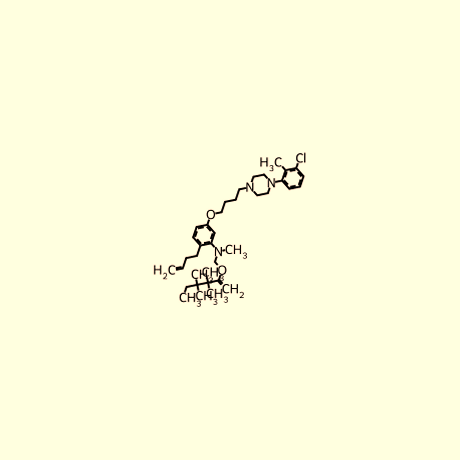 C=CCCc1ccc(OCCCCN2CCN(c3cccc(Cl)c3C)CC2)cc1N(C)COC(=C)C(C)(C)C(C)(C)CC